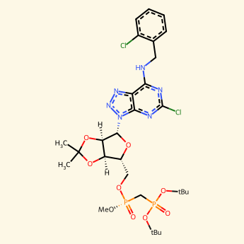 CO[P@@](=O)(CP(=O)(OC(C)(C)C)OC(C)(C)C)OC[C@H]1O[C@@H](n2nnc3c(NCc4ccccc4Cl)nc(Cl)nc32)[C@@H]2OC(C)(C)O[C@@H]21